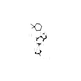 C[C@@H]1C[C@H](n2ncc3nc(-n4cc(C(=O)O)cn4)nc(O)c32)CC(C)(C)C1